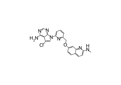 CNc1ccc2ccc(OCc3cccc(-n4cc(Cl)c5c(N)ncnc54)n3)cc2n1